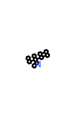 c1ccc2c(-c3c4ccccc4c(-c4ccc5c6cccc7cccc(c8cccc4c85)c76)c4cnc5ccccc5c34)cccc2c1